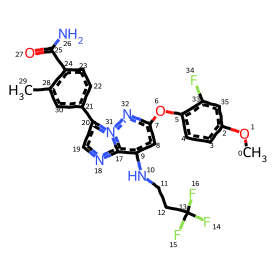 COc1ccc(Oc2cc(NCCC(F)(F)F)c3ncc(-c4ccc(C(N)=O)c(C)c4)n3n2)c(F)c1